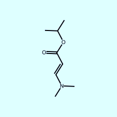 CC(C)OC(=O)C=CN(C)C